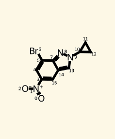 O=[N+]([O-])c1cc(Br)c2nn(C3CC3)cc2c1